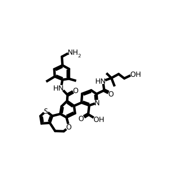 Cc1cc(CN)cc(C)c1NC(=O)c1cc2c(cc1-c1ccc(C(=O)NC(C)(C)CCO)nc1C(=O)O)OCCc1ccsc1-2